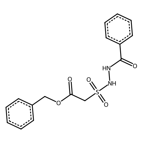 O=C(CS(=O)(=O)NNC(=O)c1ccccc1)OCc1ccccc1